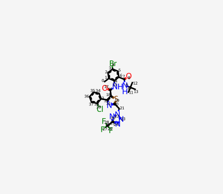 Cc1cc(Br)cc(C(=O)NC(C)(C)C)c1NC(=O)c1sc(Cn2nnc(C(F)(F)F)n2)nc1-c1ccccc1Cl